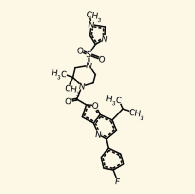 CC(C)c1cc(-c2ccc(F)cc2)nc2cc(C(=O)N3CCN(S(=O)(=O)c4cn(C)cn4)CC3(C)C)oc12